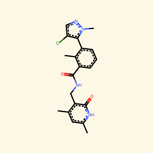 Cc1cc(C)c(CNC(=O)c2cccc(-c3c(Cl)cnn3C)c2C)c(=O)[nH]1